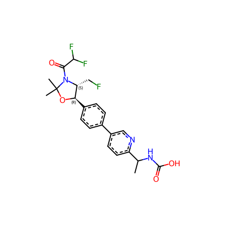 CC(NC(=O)O)c1ccc(-c2ccc([C@H]3OC(C)(C)N(C(=O)C(F)F)[C@@H]3CF)cc2)cn1